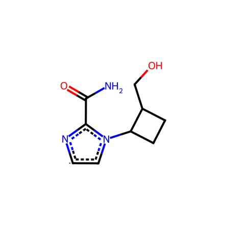 NC(=O)c1n[c]cn1C1CCC1CO